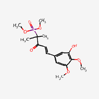 COc1cc(C=CC(=O)C(C)(C)P(=O)(OC)OC)cc(O)c1OC